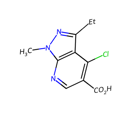 CCc1nn(C)c2ncc(C(=O)O)c(Cl)c12